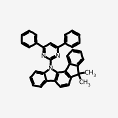 CC1(C)c2ccccc2-c2c1ccc1c3ccccc3n(-c3nc(-c4ccccc4)cc(-c4ccccc4)n3)c21